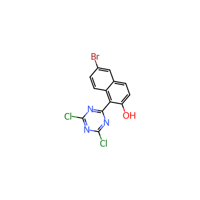 Oc1ccc2cc(Br)ccc2c1-c1nc(Cl)nc(Cl)n1